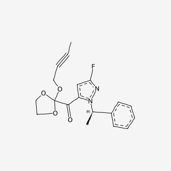 CC#CCOC1(C(=O)c2cc(F)nn2[C@H](C)c2ccccc2)OCCO1